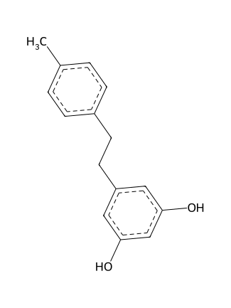 Cc1ccc(CCc2cc(O)cc(O)c2)cc1